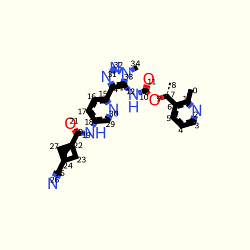 Cc1ncccc1[C@@H](C)OC(=O)Nc1c(-c2ccc(NC(=O)C34CC(C#N)(C3)C4)cn2)nnn1C